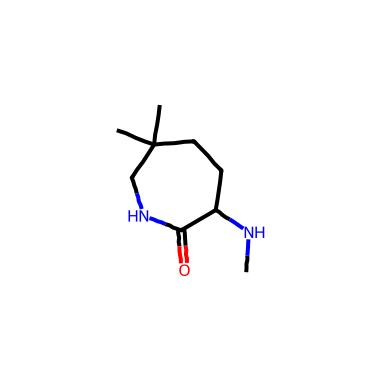 CNC1CCC(C)(C)CNC1=O